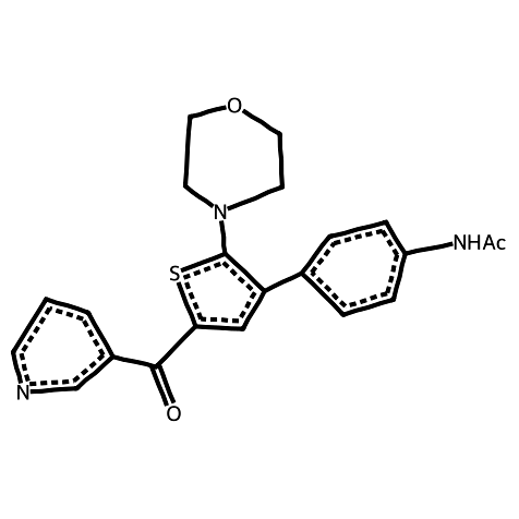 CC(=O)Nc1ccc(-c2cc(C(=O)c3cccnc3)sc2N2CCOCC2)cc1